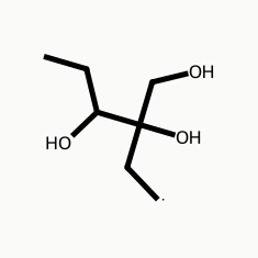 [CH2]CC(O)(CO)C(O)CC